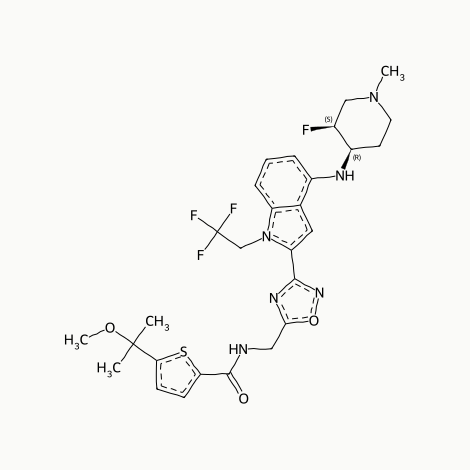 COC(C)(C)c1ccc(C(=O)NCc2nc(-c3cc4c(N[C@@H]5CCN(C)C[C@@H]5F)cccc4n3CC(F)(F)F)no2)s1